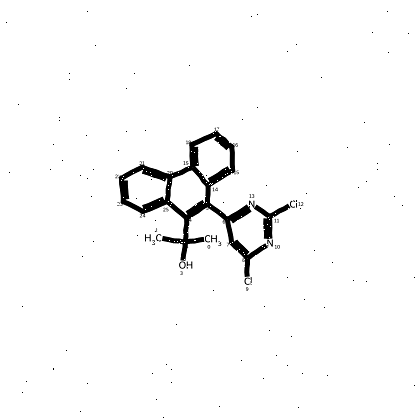 CC(C)(O)c1c(-c2cc(Cl)nc(Cl)n2)c2ccccc2c2ccccc12